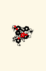 COc1cc(N[C@]2(c3ccc(Cl)cc3OC)Nc3ccc(OC(F)(F)F)cc3[C@@H]2C(=O)[C@H]2c3cc(OC(F)(F)F)ccc3N[C@]2(Nc2cc(OC)cc(S(C)(=O)=O)c2)c2ccc(Cl)cc2OC)cc(S(C)(=O)=O)c1